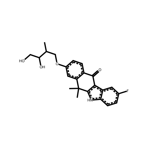 CC(COc1ccc2c(c1)C(C)(C)c1[nH]c3ccc(F)cc3c1C2=O)C(O)CO